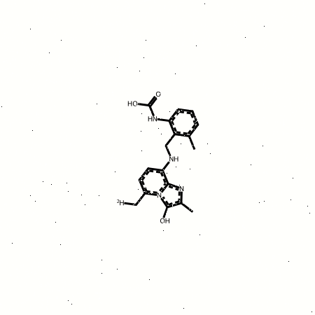 [2H]Cc1ccc(NCc2c(C)cccc2NC(=O)O)c2nc(C)c(O)n12